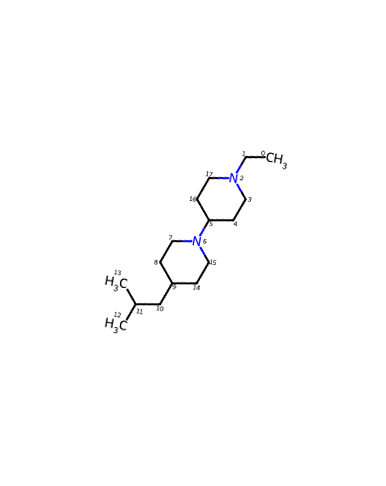 CCN1CCC(N2CCC(CC(C)C)CC2)CC1